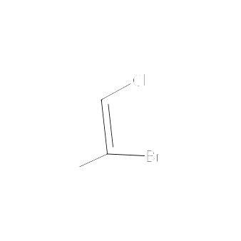 C/C(Br)=[C]/Cl